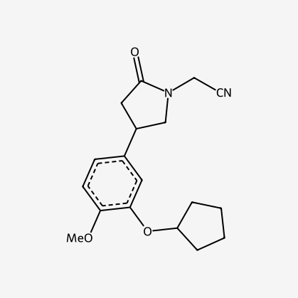 COc1ccc(C2CC(=O)N(CC#N)C2)cc1OC1CCCC1